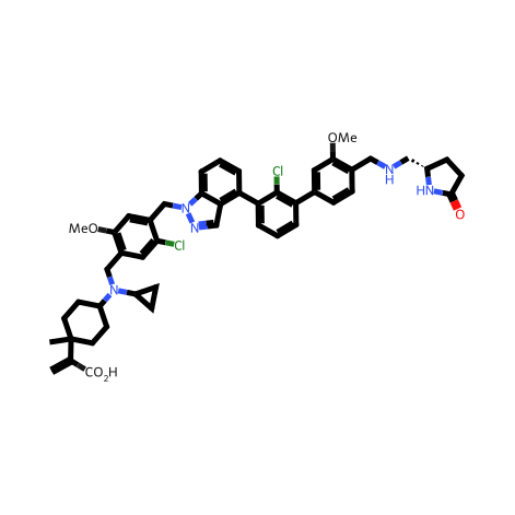 C=C(C(=O)O)C1(C)CCC(N(Cc2cc(Cl)c(Cn3ncc4c(-c5cccc(-c6ccc(CNC[C@@H]7CCC(=O)N7)c(OC)c6)c5Cl)cccc43)cc2OC)C2CC2)CC1